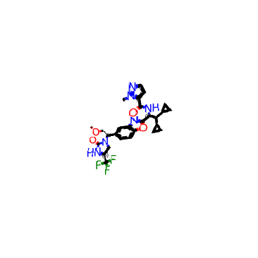 COC[C@H](c1ccc2oc([C@@H](NC(=O)c3ccnn3C)C(C3CC3)C3CC3)nc2c1)N1C[C@@H](C(F)(F)F)NC1=O